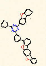 c1ccc(-c2nc(-c3cccc(-c4cccc5c4oc4cc6oc7ccccc7c6cc45)c3)nc(-c3ccc4c(c3)oc3ccccc34)n2)cc1